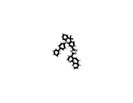 CC1(C)c2ccccc2N(c2ccc(-c3ccccc3)cc2)c2cc(-c3nsc(-c4ccnc5c4ccc4cccnc45)n3)ccc21